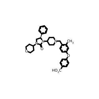 Cc1cc(Oc2ccc(C(=O)O)cc2)ccc1CN1CCC(N2C(=O)N(C3CCOCC3)C[C@H]2c2ccccc2)CC1